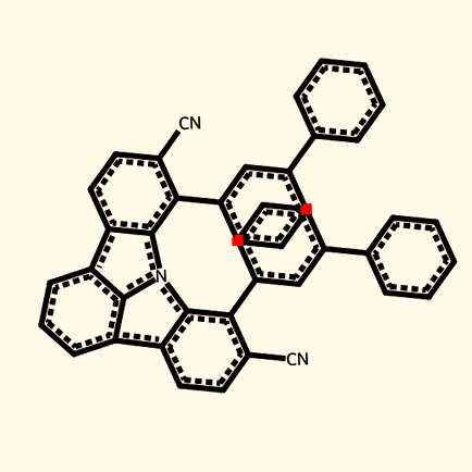 N#Cc1ccc2c3cccc4c5ccc(C#N)c(-c6cccc(-c7ccccc7)c6)c5n(c2c1-c1cccc(-c2ccccc2)c1)c34